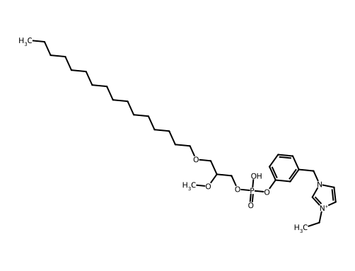 CCCCCCCCCCCCCCCCOCC(COP(=O)(O)Oc1cccc(Cn2cc[n+](CC)c2)c1)OC